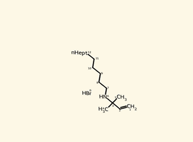 Br.C=CC(C)(C)NCCCCCCCCCCCC